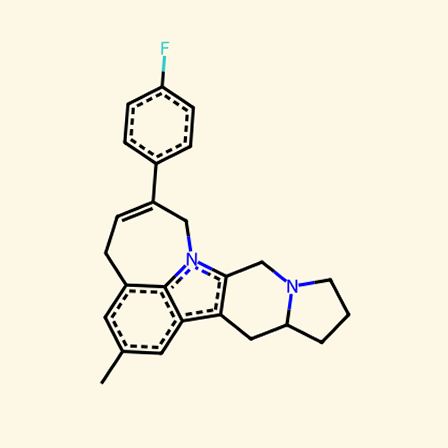 Cc1cc2c3c(c1)c1c(n3CC(c3ccc(F)cc3)=CC2)CN2CCCC2C1